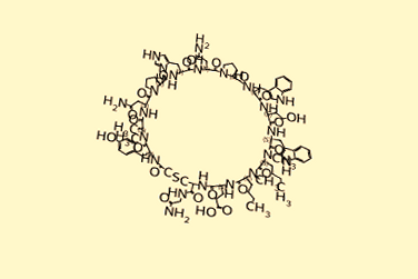 CCCC[C@H]1C(=O)N(C)[C@@H](CCCC)C(=O)N[C@@H](CCC(=O)O)C(=O)NC(C(=O)NCC(N)=O)CSCC(=O)N[C@@H](Cc2ccc(O)cc2)C(=O)N(C)[C@@H](C)C(=O)N[C@@H](CC(N)=O)C(=O)N2CCC[C@H]2C(=O)N[C@@H](Cc2c[nH]cn2)C(=O)N[C@@H](CC(N)=O)C(=O)N2CCC[C@H]2C(=O)N[C@@H](Cc2c[nH]c3ccccc23)C(=O)N[C@@H](CCO)C(=O)N[C@@H](Cc2c[nH]c3ccccc23)C(=O)N1C